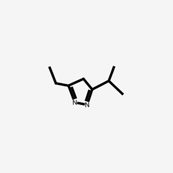 CCC1=NN=C(C(C)C)C1